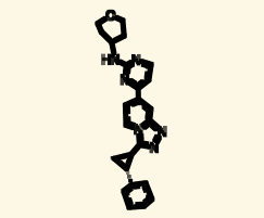 c1ccc([C@@H]2CC2c2nnc3cc(-c4ccnc(NC5CCOCC5)n4)ccn23)cc1